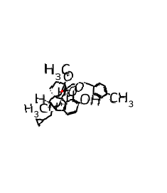 CO[C@]12CC[C@@]3(C[C@@H]1COCc1ccc(C)cc1)[C@H]1Cc4ccc(O)c5c4[C@@]3(CC[N+]1(C)CC1CC1)[C@H]2O5